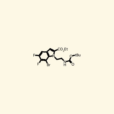 CCOC(=O)c1cc2cc(F)c(F)c(Br)c2n1CCNC(=O)OC(C)(C)C